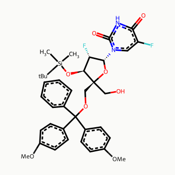 COc1ccc(C(OC[C@]2(CO)O[C@@H](n3cc(F)c(=O)[nH]c3=O)[C@@H](F)[C@@H]2O[Si](C)(C)C(C)(C)C)(c2ccccc2)c2ccc(OC)cc2)cc1